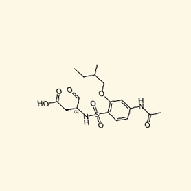 CCC(C)COc1cc(NC(C)=O)ccc1S(=O)(=O)N[C@H](C=O)CC(=O)O